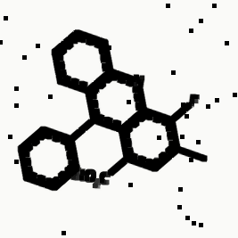 CCOC(=O)c1cc(C)c(F)c2nc3ccccc3c(-c3ccccc3)c12